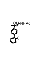 CC(=O)NCCC(C)(O)c1ccc(-c2ccccc2Cl)cc1